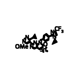 COc1ncnc(C2CC2)c1-c1ncc2c[c]([Sn]([CH3])([CH3])[CH3])c(=O)n(Cc3ccc(-c4nc(C(F)(F)F)cn4C4CC4)cc3)c2n1